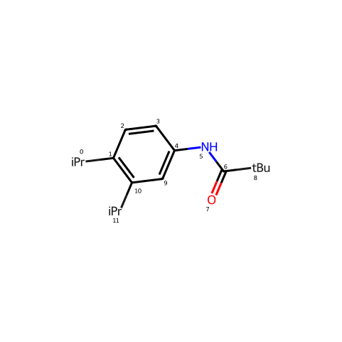 CC(C)c1ccc(NC(=O)C(C)(C)C)cc1C(C)C